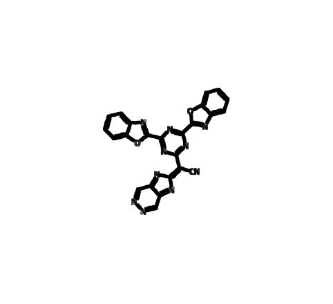 N#CC(=C1N=c2cnncc2=N1)c1nc(-c2nc3ccccc3o2)nc(-c2nc3ccccc3o2)n1